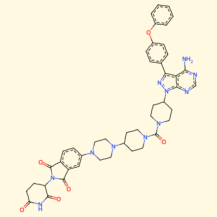 Nc1ncnc2c1c(-c1ccc(Oc3ccccc3)cc1)nn2C1CCN(C(=O)N2CCC(N3CCN(c4ccc5c(c4)C(=O)N(C4CCC(=O)NC4=O)C5=O)CC3)CC2)CC1